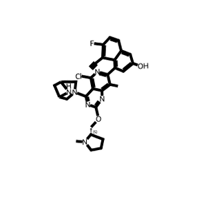 C#Cc1c(F)ccc2cc(O)cc(-c3nc(Cl)c4c(N5CC6CC(C5)N6)nc(OC[C@@H]5CCCN5C)nc4c3C)c12